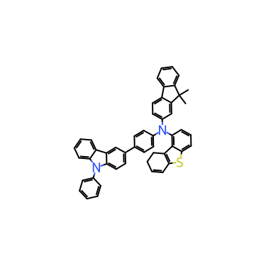 CC1(C)c2ccccc2-c2ccc(N(c3ccc(-c4ccc5c(c4)c4ccccc4n5-c4ccccc4)cc3)c3cccc4sc5c(c34)CCC=C5)cc21